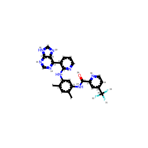 Cc1cc(C)c(Nc2ncccc2-c2ncnc3[nH]cnc23)cc1NC(=O)c1cc(C(F)(F)F)ccn1